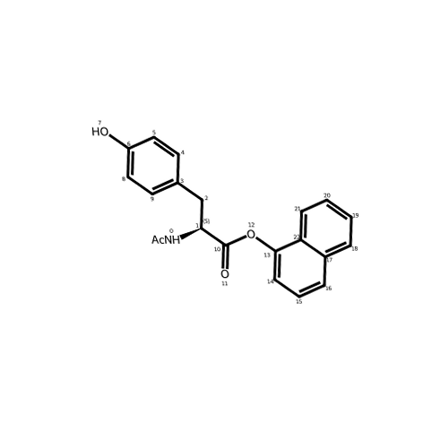 CC(=O)N[C@@H](Cc1ccc(O)cc1)C(=O)Oc1cccc2ccccc12